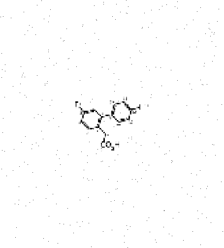 O=C(O)Cc1ccc(F)cc1-c1ccc(F)cc1